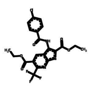 CCOC(=O)c1cc2c(NC(=O)c3ccc(Cl)cc3)c(C(=O)OCC)sc2nc1C(F)(F)F